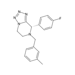 Cc1cccc(CN2CCn3nnnc3[C@@H]2c2ccc(F)cc2)c1